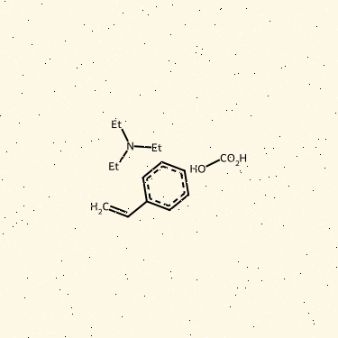 C=Cc1ccccc1.CCN(CC)CC.O=C(O)O